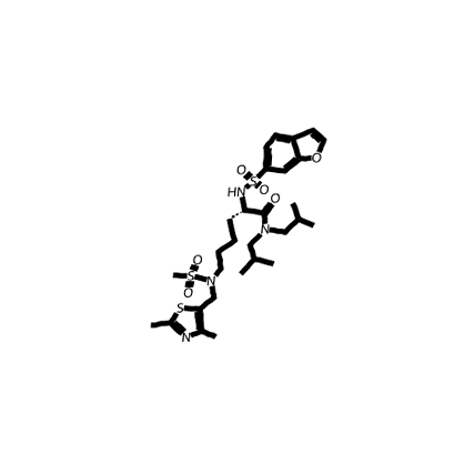 Cc1nc(C)c(CN(CCCC[C@H](NS(=O)(=O)c2ccc3ccoc3c2)C(=O)N(CC(C)C)CC(C)C)S(C)(=O)=O)s1